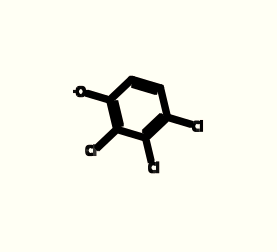 [O]c1ccc(Cl)c(Cl)c1Cl